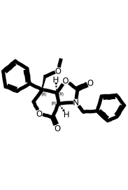 COC[C@]1(c2ccccc2)COC(=O)[C@H]2[C@@H]1OC(=O)N2Cc1ccccc1